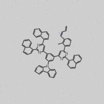 C=C/C=C\c1cccc(-c2cc(-c3cc(-c4cc(-c5cccc6ccccc56)nc(-c5cccc6ccccc56)n4)cc(-n4c5ccccc5c5ccccc54)c3)nc(-c3cccc4ccccc34)n2)c1C